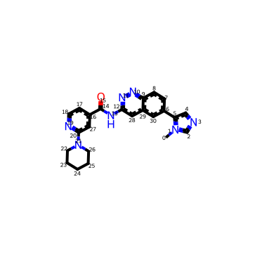 Cn1cncc1-c1ccc2nnc(NC(=O)c3ccnc(N4CCCCC4)c3)cc2c1